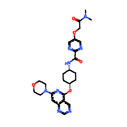 CN(C)C(=O)COc1cnc(C(=O)N[C@H]2CC[C@@H](Oc3nc(N4CCOCC4)cc4ncncc34)CC2)nc1